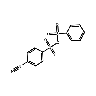 N#[N+]c1ccc(S(=O)(=O)OS(=O)(=O)c2ccccc2)cc1